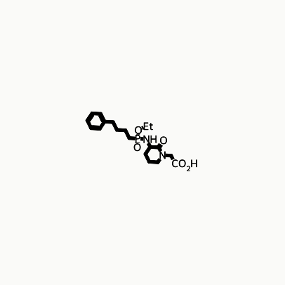 CCOP(=O)(CCCCc1ccccc1)NC1CCCN(CC(=O)O)C1=O